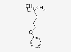 CCC(C)CCCOc1cc[c]cc1